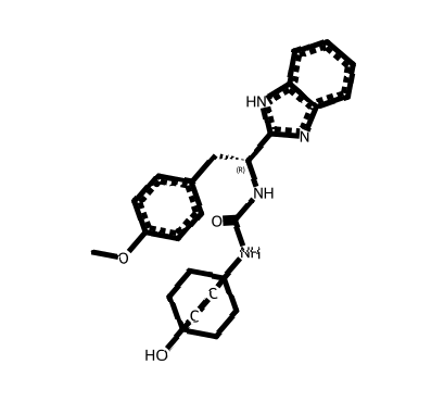 COc1ccc(C[C@@H](NC(=O)NC23CCC(O)(CC2)CC3)c2nc3ccccc3[nH]2)cc1